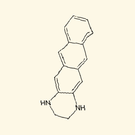 c1ccc2cc3cc4c(cc3cc2c1)NCCN4